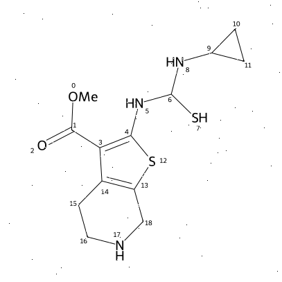 COC(=O)c1c(NC(S)NC2CC2)sc2c1CCNC2